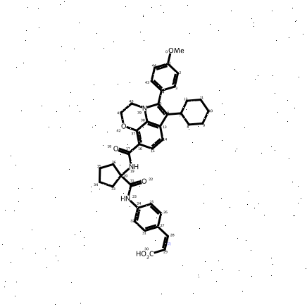 COc1ccc(-c2c(C3CCCCC3)c3ccc(C(=O)NC4(C(=O)Nc5ccc(/C=C\C(=O)O)cc5)CCCC4)c4c3n2CCO4)cc1